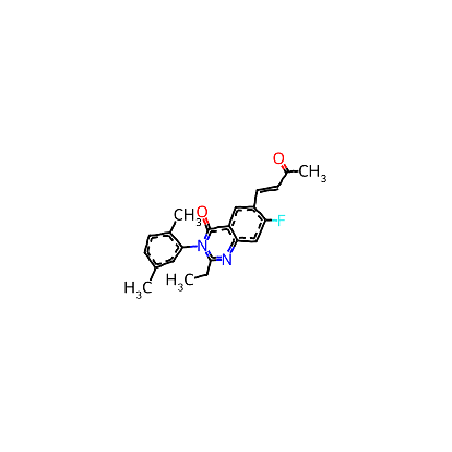 CCc1nc2cc(F)c(/C=C/C(C)=O)cc2c(=O)n1-c1cc(C)ccc1C